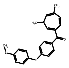 COc1ccc(Oc2ccc(C(=O)C3=CC(C)C=C(C)C=C3)cc2)cc1